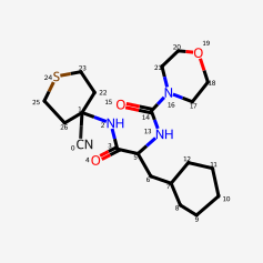 N#CC1(NC(=O)C(CC2CCCCC2)NC(=O)N2CCOCC2)CCSCC1